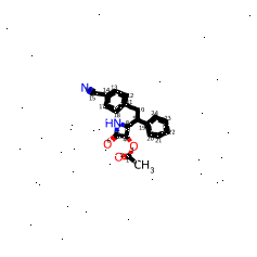 CC(=O)OC1C(=O)NC1C(Cc1ccc(C#N)cc1)c1ccccc1